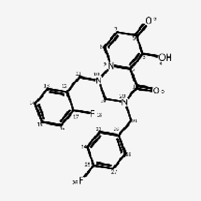 O=C1c2c(O)c(=O)ccn2N(Cc2ccccc2F)CN1Cc1ccc(F)cc1